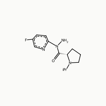 CC(C)N1CCC[C@H]1C(=O)N(N)c1ccc(F)cn1